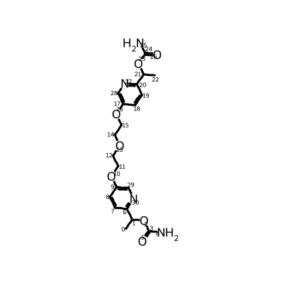 CC(OC(N)=O)c1ccc(OCCOCCOc2ccc(C(C)OC(N)=O)nc2)cn1